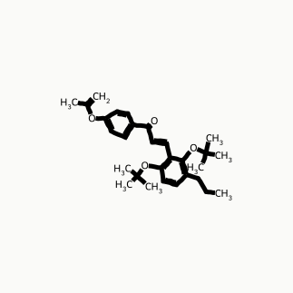 C=C(C)Oc1ccc(C(=O)C=Cc2c(OC(C)(C)C)ccc(CCC)c2OC(C)(C)C)cc1